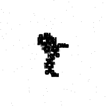 COc1cc(C(=O)NCC2CC23CCN(C(=O)OC(C)(C)C)CC3)ccc1Nc1ncc2c(n1)N(C1CCCC1)CC(F)(F)C(=O)N2C